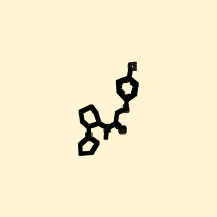 CN(C(=O)CSc1ccc(Cl)cc1)C1CCCCC1N1CCCC1